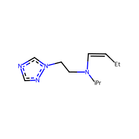 CC/C=C\N(CCn1cncn1)C(C)C